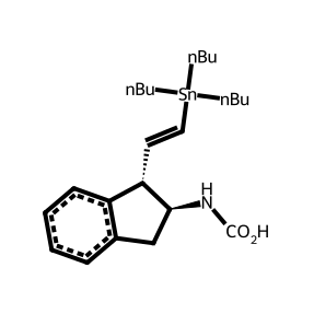 CCC[CH2][Sn](/[CH]=C/[C@H]1c2ccccc2C[C@@H]1NC(=O)O)([CH2]CCC)[CH2]CCC